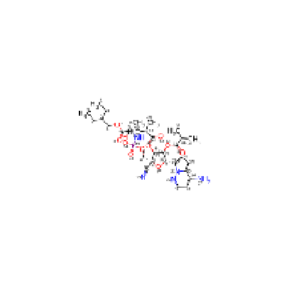 CCC(CC)COC(=O)[C@H](C)NP(=O)(O)OC[C@@]1(C#N)O[C@@H](c2ccc3c(N)ccnn23)[C@H](OC(=O)C(C)C)[C@@H]1OC(=O)C(C)C